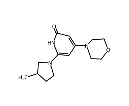 CC1CCN(c2cc(N3CCOCC3)cc(=O)[nH]2)C1